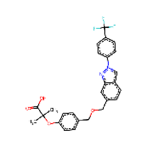 CC(C)(Oc1ccc(COCc2ccc3cn(-c4ccc(C(F)(F)F)cc4)nc3c2)cc1)C(=O)O